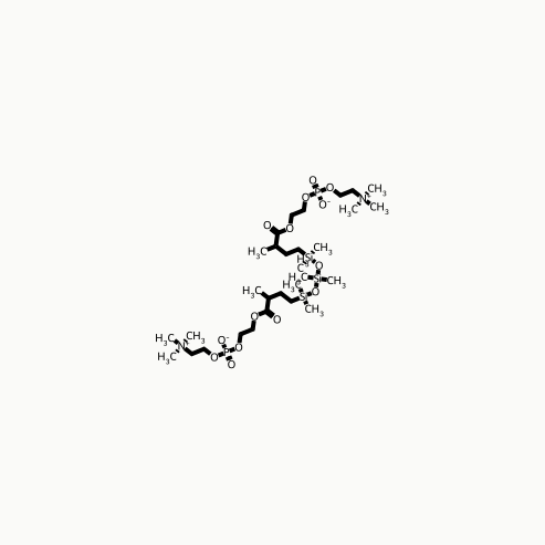 CC(CC[Si](C)(C)O[Si](C)(C)O[Si](C)(C)CCC(C)C(=O)OCCOP(=O)([O-])OCC[N+](C)(C)C)C(=O)OCCOP(=O)([O-])OCC[N+](C)(C)C